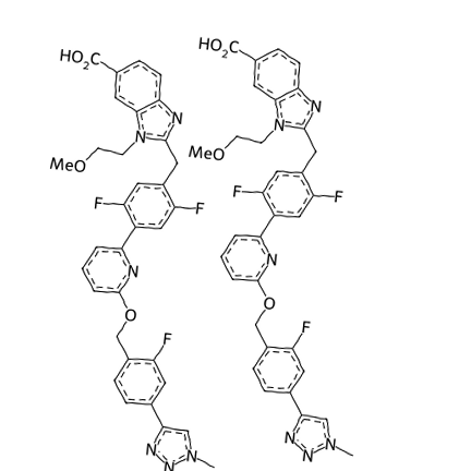 COCCn1c(Cc2cc(F)c(-c3cccc(OCc4ccc(-c5cn(C)nn5)cc4F)n3)cc2F)nc2ccc(C(=O)O)cc21.COCCn1c(Cc2cc(F)c(-c3cccc(OCc4ccc(-c5cn(C)nn5)cc4F)n3)cc2F)nc2ccc(C(=O)O)cc21